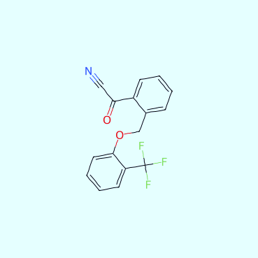 N#CC(=O)c1ccccc1COc1ccccc1C(F)(F)F